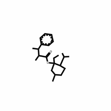 CCC1(OC(=O)C(C)C(C)c2ccccc2)CC(C)CCC1C(C)C